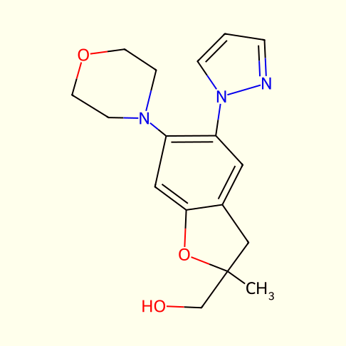 CC1(CO)Cc2cc(-n3cccn3)c(N3CCOCC3)cc2O1